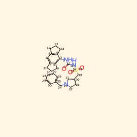 O=C(Nc1c2c(cc3c1CCC3)CCC2)NS(=O)(=O)CC1CCN(Cc2ccccc2)C1